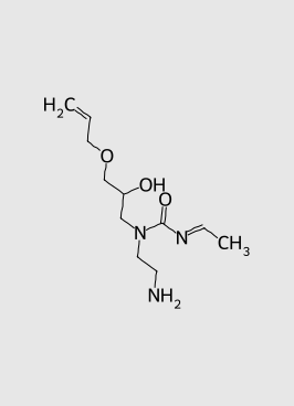 C=CCOCC(O)CN(CCN)C(=O)N=CC